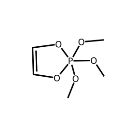 COP1(OC)(OC)OC=CO1